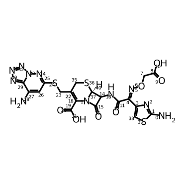 Nc1nc(C(=NOCC(=O)O)C(=O)NC2C(=O)N3C(C(=O)O)=C(CSc4cc(N)c5nnnn5n4)CS[C@@H]23)cs1